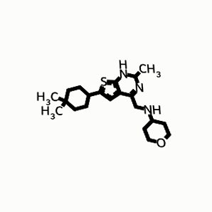 CC1N=C(CNC2CCOCC2)c2cc(C3CCC(C)(C)CC3)sc2N1